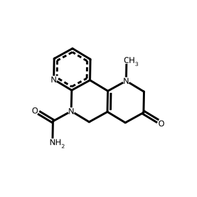 CN1CC(=O)CC2=C1c1cccnc1N(C(N)=O)C2